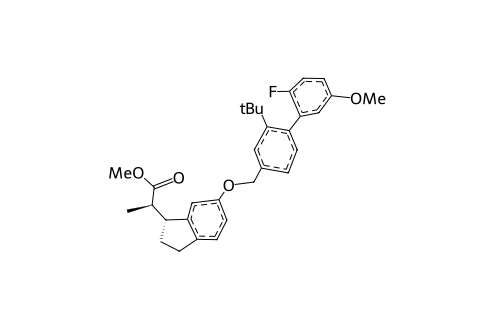 COC(=O)[C@H](C)[C@H]1CCc2ccc(OCc3ccc(-c4cc(OC)ccc4F)c(C(C)(C)C)c3)cc21